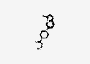 CC(C)(C)OC(=O)N1CCN(c2ccc3ncc(I)n3c2)CC1